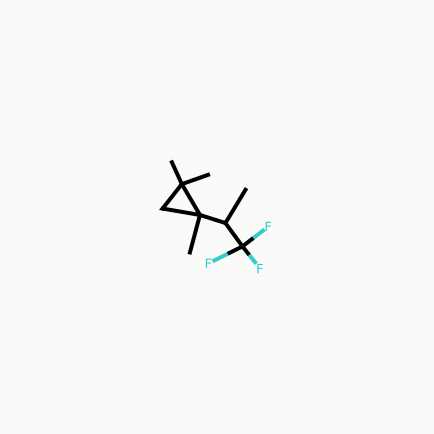 CC(C(F)(F)F)C1(C)CC1(C)C